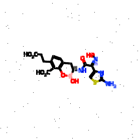 Nc1nc(/C(=N/O)C(=O)N[C@H]2Cc3ccc(CCC(=O)O)c(C(=O)O)c3OB2O)cs1